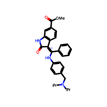 COC(=O)c1ccc2c(c1)NC(=O)/C2=C(\Nc1ccc(CN(C(C)C)C(C)C)cc1)c1ccccc1